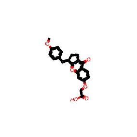 COc1ccc(C=C2CCc3c2oc2cc(OCC(=O)O)ccc2c3=O)cc1